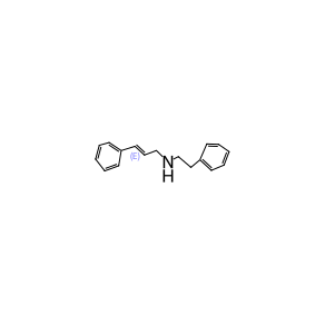 C(=C\c1ccccc1)/CNCCc1ccccc1